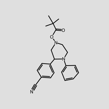 CC(C)(C)C(=O)ON1CCN(c2ccccc2)C(c2ccc(C#N)cc2)C1